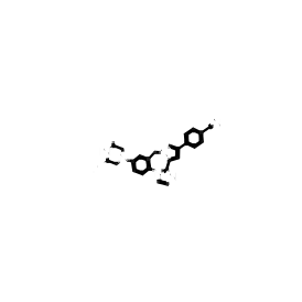 CC1CN(c2ccc3c(c2)Cn2cc(-c4ccc(C#N)cc4)cc2-c2nccn2-3)CC(C)N1